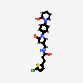 O=C(CCc1ccc(Cl)s1)NCC1CC(=O)N(c2ccc(N3CCCCC3=O)cc2)C1